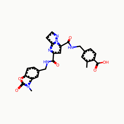 Cc1cc(CNC(=O)c2cc(C(=O)NCc3ccc4oc(=O)n(C)c4c3)nc3ccnn23)ccc1C(=O)O